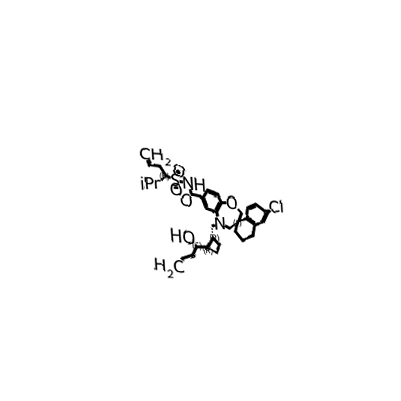 C=CC[C@H](C(C)C)S(=O)(=O)NC(=O)c1ccc2c(c1)N(C[C@@H]1CC[C@H]1[C@@H](O)CC=C)C[C@@]1(CCCc3cc(Cl)ccc31)CO2